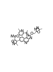 COc1cc2c(cc1-c1c(C)noc1C)ncc1nc(OCc3nnc(C)o3)n([C@H](C)c3cccc(C)n3)c12